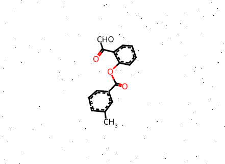 Cc1cccc(C(=O)Oc2ccccc2C(=O)C=O)c1